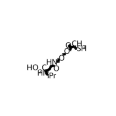 CC(C)N[C@@H](CCC(=O)NCCOCCOCC(=O)C(C)CS)C(=O)O